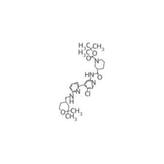 CC(C)(C)OC(=O)N1CCCC(C(=O)Nc2cc(-c3cccc(NC[C@@H]4CCOC(C)(C)C4)n3)c(Cl)cn2)C1